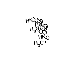 Cc1ccc2c(NC(=O)[C@H]3C[C@H]3C)cccc2c1Oc1ncccc1-c1ccnc(NC2CCCNC2)n1